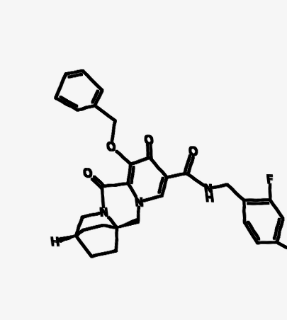 O=C(NCc1ccc(F)cc1F)c1cn2c(c(OCc3ccccc3)c1=O)C(=O)N1C[C@H]3CC[C@@]1(CC3)C2